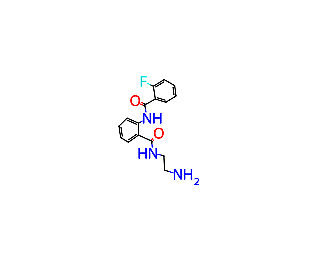 NCCNC(=O)c1ccccc1NC(=O)c1ccccc1F